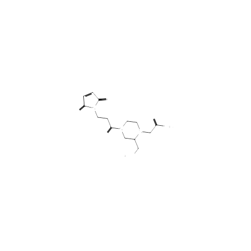 CC(=O)OCC1CN(C(=O)CCN2C(=O)C=CC2=O)CCN1CC(=O)OCC(C)C